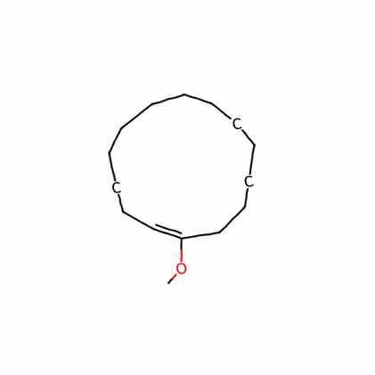 CO/C1=C/CCCCCCCCCCCC1